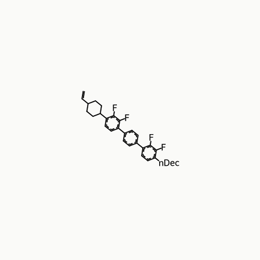 C=CC1CCC(c2ccc(-c3ccc(-c4ccc(CCCCCCCCCC)c(F)c4F)cc3)c(F)c2F)CC1